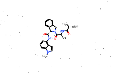 CN[C@@H](C)C(=O)N[C@H](C(=O)N1Cc2ccccc2[C@H]1C(=O)Nc1cccc2c1ccn2C)C(C)C